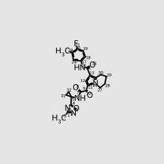 Cc1noc(C2(NC(=O)C(=O)c3cc(C(=O)Nc4ccc(F)c(C)c4)c4n3CCCC4)CC2)n1